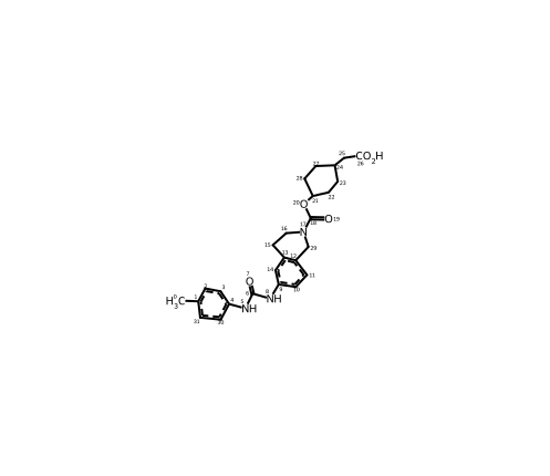 Cc1ccc(NC(=O)Nc2ccc3c(c2)CCN(C(=O)OC2CCC(CC(=O)O)CC2)C3)cc1